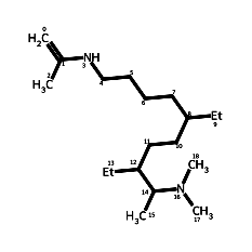 C=C(C)NCCCCC(CC)CCC(CC)C(C)N(C)C